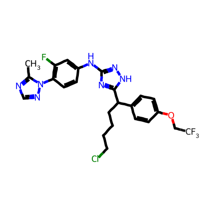 Cc1ncnn1-c1ccc(Nc2n[nH]c(C(CCCCCl)c3ccc(OCC(F)(F)F)cc3)n2)cc1F